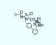 CCOC(=O)C1C(Cl)SC(=NC(=O)C2CC2)N1Cc1ccc(-c2ccccc2-c2nnn[nH]2)cc1